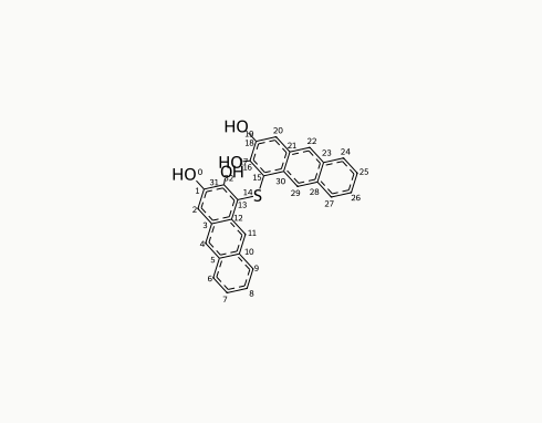 Oc1cc2cc3ccccc3cc2c(Sc2c(O)c(O)cc3cc4ccccc4cc23)c1O